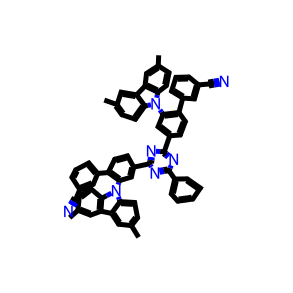 Cc1ccc2c(c1)c1cc(C)ccc1n2-c1cc(-c2nc(-c3ccccc3)nc(-c3ccc(-c4cccc(C#N)c4)c(-n4c5ccc(C)cc5c5cc(C)ccc54)c3)n2)ccc1-c1cccc(C#N)c1